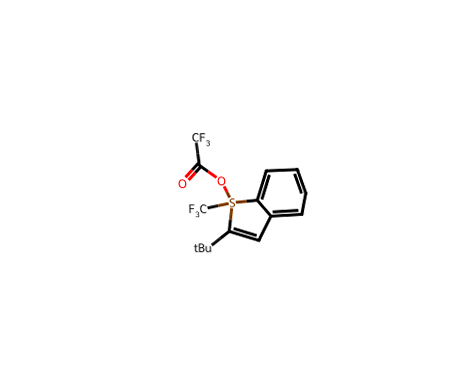 CC(C)(C)C1=Cc2ccccc2S1(OC(=O)C(F)(F)F)C(F)(F)F